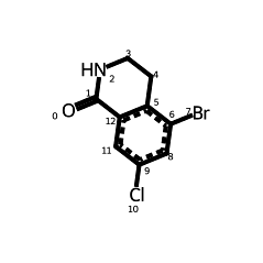 O=C1NCCc2c(Br)cc(Cl)cc21